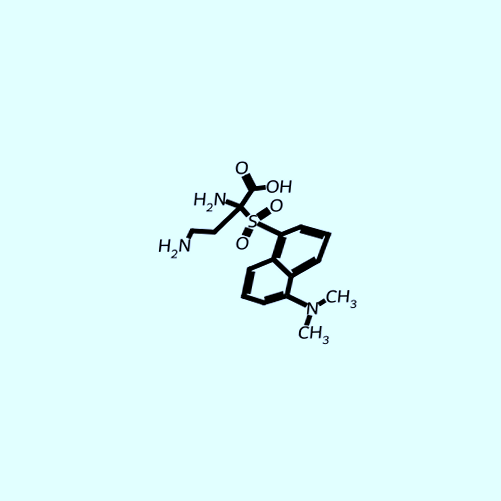 CN(C)c1cccc2c(S(=O)(=O)C(N)(CCN)C(=O)O)cccc12